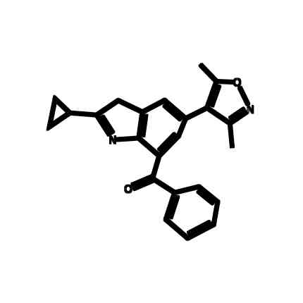 Cc1noc(C)c1-c1cc2c(c(C(=O)c3ccccc3)c1)N=C(C1CC1)C2